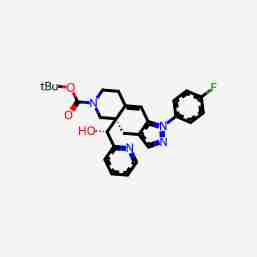 CC(C)(C)OC(=O)N1CCC2=Cc3c(cnn3-c3ccc(F)cc3)C[C@]2([C@@H](O)c2ccccn2)C1